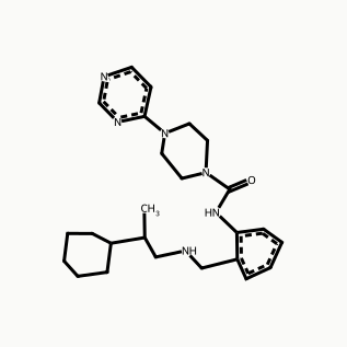 CC(CNCc1ccccc1NC(=O)N1CCN(c2ccncn2)CC1)C1CCCCC1